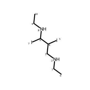 CCNCC(I)C(I)NCC